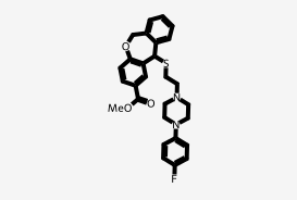 COC(=O)c1ccc2c(c1)C(SCCN1CCN(c3ccc(F)cc3)CC1)c1ccccc1CO2